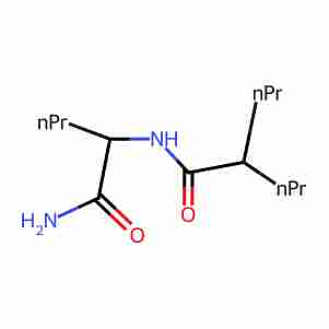 CCCC(CCC)C(=O)NC(CCC)C(N)=O